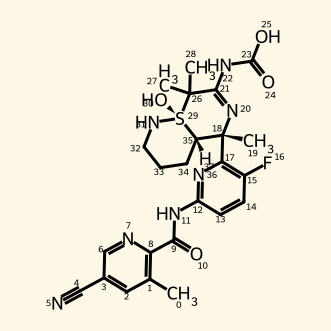 Cc1cc(C#N)cnc1C(=O)Nc1ccc(F)c([C@@]2(C)N=C(NC(=O)O)C(C)(C)[S@@]3(O)NCCC[C@@H]23)n1